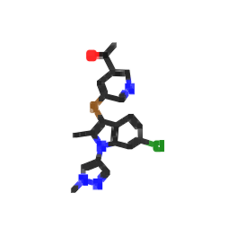 CC(=O)c1cncc(Sc2c(C)n(-c3cnn(C)c3)c3cc(Cl)ccc23)c1